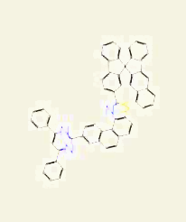 c1ccc(-c2cc(-c3ccccc3)nc(-c3ccc4c(ccc5ccc6sc(-c7ccc8c(c7)C7(c9ccccc9-8)c8ccccc8-c8cc9ccccc9cc87)nc6c54)c3)n2)cc1